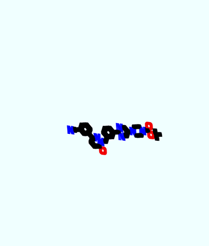 CC(C)(C)OC(=O)N1CCN(c2cnc(-c3cccc(Cn4nc(-c5cccc(C#N)c5)ccc4=O)c3)nc2)CC1